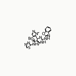 CC1=C(C(=O)Nc2nncs2)C(c2c(Br)cnn2C)N=C(Nc2nc3ccccc3o2)N1